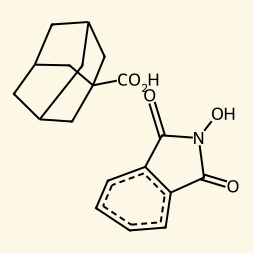 O=C(O)C12CC3CC(CC(C3)C1)C2.O=C1c2ccccc2C(=O)N1O